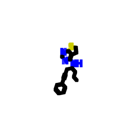 CCCC(CC#Cc1ccccc1)Nc1ncnc2sccc12